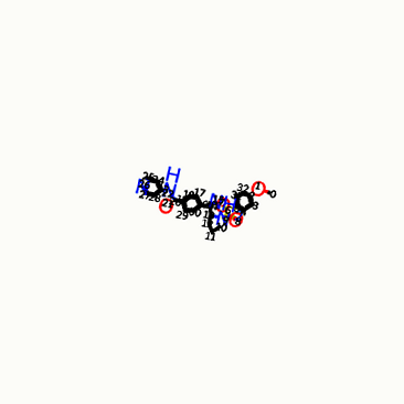 COc1ccc(S(=O)(=O)N2CCCC2C(N)c2ccc(C(=O)Nc3ccncc3)cc2)cc1